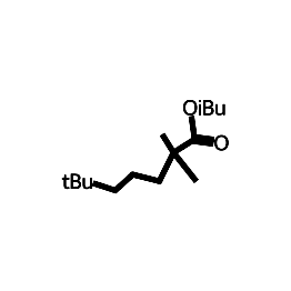 CC(C)COC(=O)C(C)(C)CCCC(C)(C)C